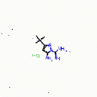 CC(C)(C)c1cc(N)n(C(=N)N)n1.Cl